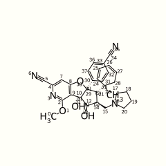 COc1nc(C#N)cc2c1[C@]1(O)[C@H](O)[C@H](CN3CCCC3)[C@@H](C3(C)C=CC=CC3)[C@]1(c1ccc(C#N)cc1)O2